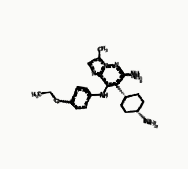 CCOc1ccc(Nc2c3ncc(C)n3nc(N)c2[C@H]2CC[C@@H](N)CC2)cc1